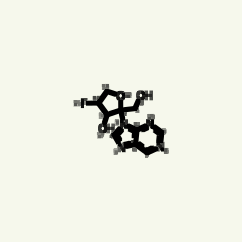 OCC1(n2cnc3cncnc32)OCC(F)C1O